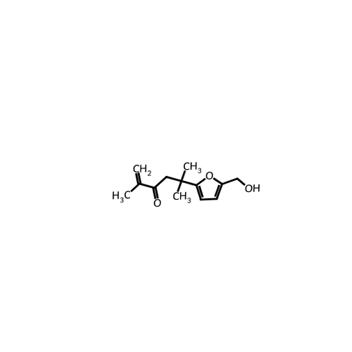 C=C(C)C(=O)CC(C)(C)c1ccc(CO)o1